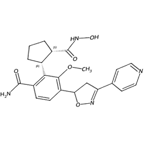 COc1c(C2CC(c3ccncc3)=NO2)ccc(C(N)=O)c1[C@@H]1CCC[C@@H]1C(=O)NO